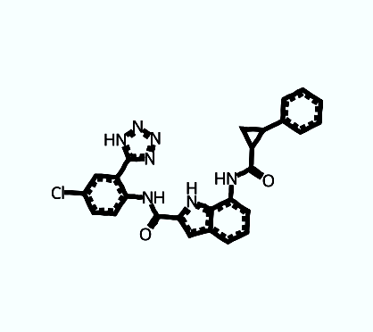 O=C(Nc1ccc(Cl)cc1-c1nnn[nH]1)c1cc2cccc(NC(=O)C3CC3c3ccccc3)c2[nH]1